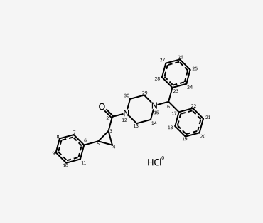 Cl.O=C(C1CC1c1ccccc1)N1CCN(C(c2ccccc2)c2ccccc2)CC1